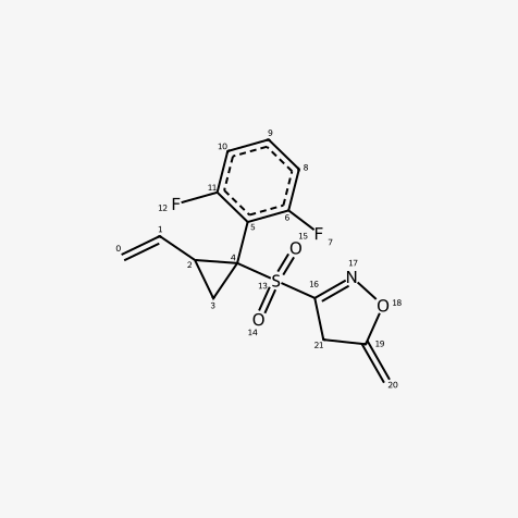 C=CC1CC1(c1c(F)cccc1F)S(=O)(=O)C1=NOC(=C)C1